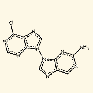 Nc1ncc2ncn(-n3cnc4c(Cl)ncnc43)c2n1